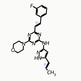 C/C=C/c1cc(Nc2nc(/C=C/c3cccc(F)c3)nc(N3CCOCC3)n2)n[nH]1